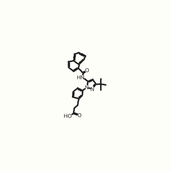 CC(C)(C)c1cc(NC(=O)c2cccc3ccccc23)n(-c2cccc(CCC(=O)O)c2)n1